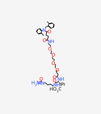 Cc1ccccc1CN(C(=O)CCC(=O)NCCOCCOCCOCCOCCC(=O)N[C@H](C(=O)N[C@@H](CCCNC(N)=O)C(=O)O)C(C)C)c1ccccc1C